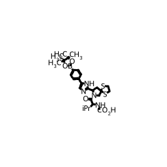 CC(C)C(NC(=O)O)C(=O)N1CC2(CC1c1ncc(-c3ccc(B4OC(C)(C)C(C)(C)O4)cc3)[nH]1)SCCS2